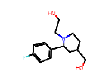 OCCN1CCC(CO)CC1c1ccc(F)cc1